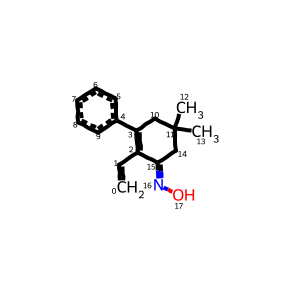 C=CC1=C(c2ccccc2)CC(C)(C)C/C1=N\O